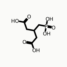 O=C(O)CC(CC(=O)O)CP(=O)(O)O